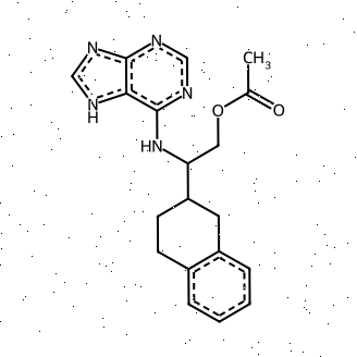 CC(=O)OCC(Nc1ncnc2nc[nH]c12)C1CCc2ccccc2C1